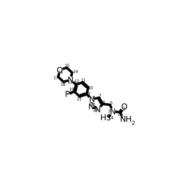 NC(=O)N(S)Cc1cn(-c2ccc(N3CCOCC3)c(F)c2)nn1